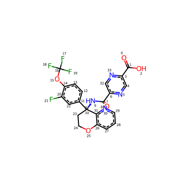 O=C(O)c1cnc(C(=O)N[C@]2(c3ccc(OC(F)(F)F)c(F)c3)CCOc3cccnc32)cn1